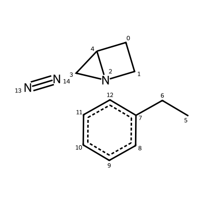 C1CN2CC12.CCc1ccccc1.N#N